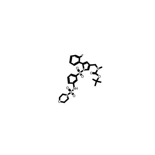 CN(Cc1cc(-c2ccccc2F)n(S(=O)(=O)c2cccc(NS(=O)(=O)N3CCOCC3)c2)c1)C(=O)OC(C)(C)C